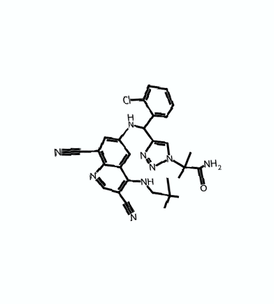 CC(C)(C)CNc1c(C#N)cnc2c(C#N)cc(NC(c3cn(C(C)(C)C(N)=O)nn3)c3ccccc3Cl)cc12